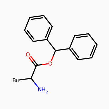 CCC(C)C(N)C(=O)OC(c1ccccc1)c1ccccc1